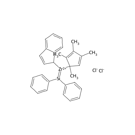 CC1=C[C](C)([Zr+2]([CH]2C=Cc3ccccc32)=[Si](c2ccccc2)c2ccccc2)C(C)=C1C.[Cl-].[Cl-]